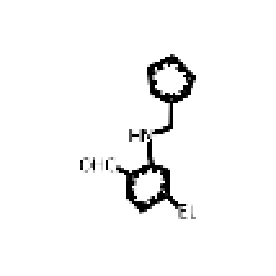 CCc1ccc(C=O)c(NCc2ccccc2)c1